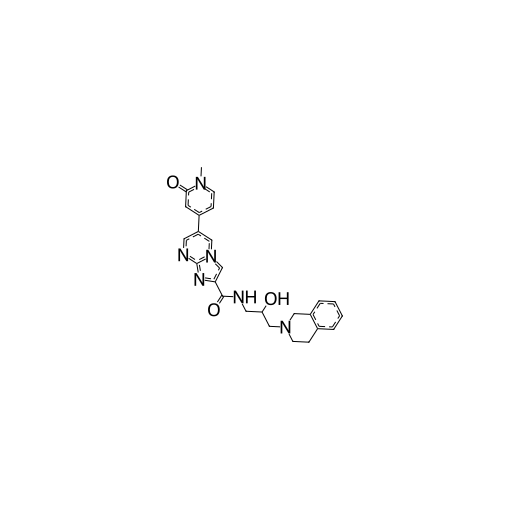 Cn1ccc(-c2cnc3nc(C(=O)NCC(O)CN4CCc5ccccc5C4)cn3c2)cc1=O